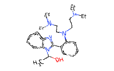 CCN(CC)CCN(CCN(CC)CC)c1ccccc1-c1nc2ccccc2n1C(C)O